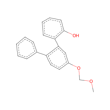 COCOc1ccc(-c2ccccc2)c(-c2ccccc2O)c1